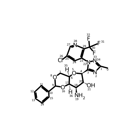 Cc1nc([C@@H]2O[C@@H]3COC(c4ccccc4)O[C@@H]3[C@H](N)[C@H]2O)n(-c2cc(Cl)cnc2C(F)(F)F)n1